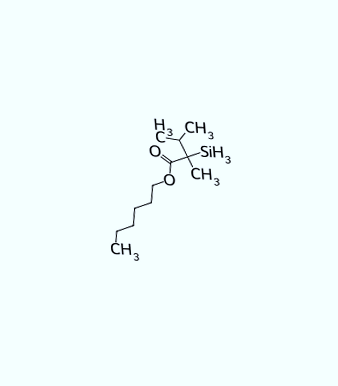 CCCCCCOC(=O)C(C)([SiH3])C(C)C